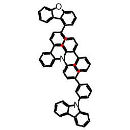 c1ccc(-c2ccccc2N(c2ccc(-c3cccc(-n4c5ccccc5c5ccccc54)c3)cc2)c2ccccc2-c2ccc(-c3cccc4oc5ccccc5c34)cc2)cc1